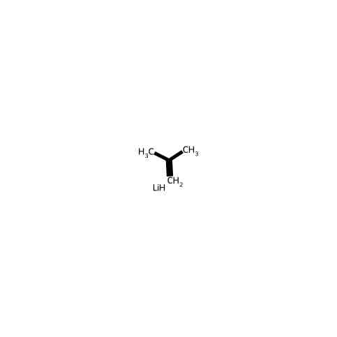 C=C(C)C.[LiH]